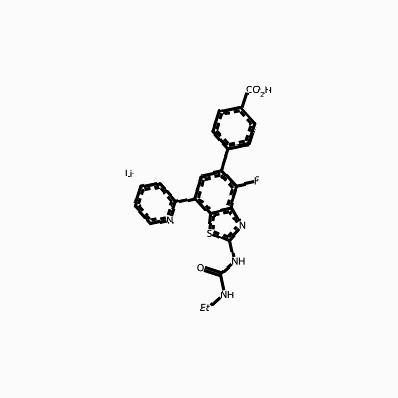 CCNC(=O)Nc1nc2c(F)c(-c3ccc(C(=O)O)cc3)cc(-c3ccccn3)c2s1.[Li]